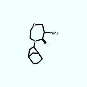 CNC1COCCN(C2CC3CCCC2C3)C1=O